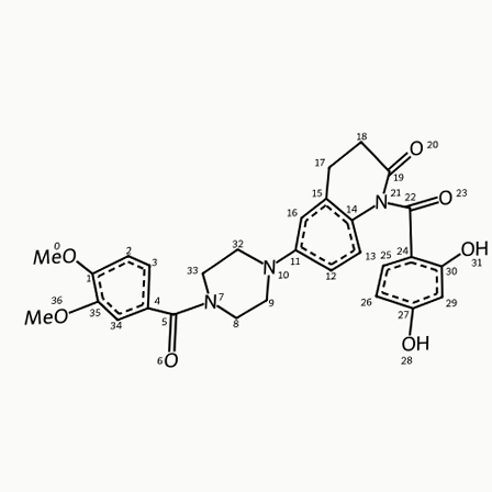 COc1ccc(C(=O)N2CCN(c3ccc4c(c3)CCC(=O)N4C(=O)c3ccc(O)cc3O)CC2)cc1OC